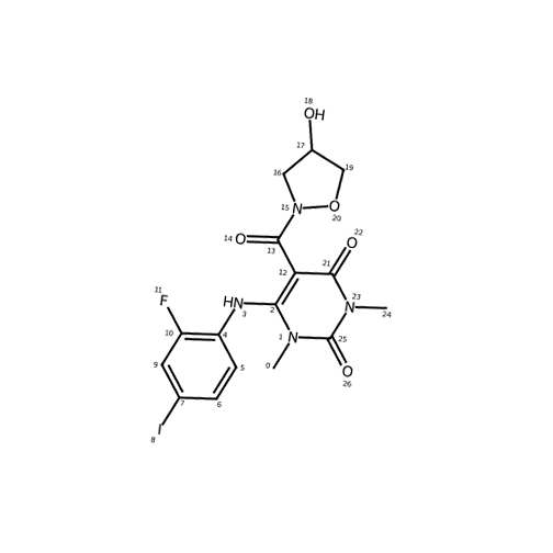 Cn1c(Nc2ccc(I)cc2F)c(C(=O)N2CC(O)CO2)c(=O)n(C)c1=O